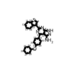 Nc1n[nH]c2nc(-c3csc4ccccc34)nc(-c3ccc(Oc4ccccc4)cc3)c12